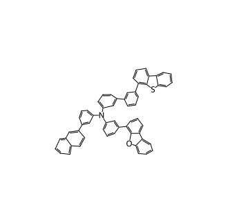 c1cc(-c2cccc(N(c3cccc(-c4ccc5ccccc5c4)c3)c3cccc(-c4cccc5c4oc4ccccc45)c3)c2)cc(-c2cccc3c2sc2ccccc23)c1